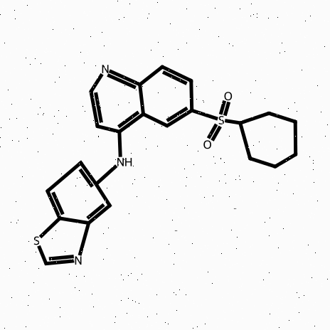 O=S(=O)(c1ccc2nccc(Nc3ccc4scnc4c3)c2c1)C1CCCCC1